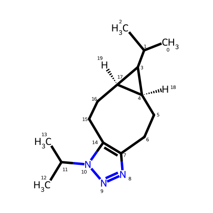 CC(C)C1[C@H]2CCc3nnn(C(C)C)c3CC[C@@H]12